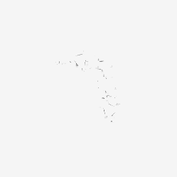 COc1ccc(Cc2csc(N3CCN(S(=O)(=O)c4ccc(Cl)cc4Cl)CC3)n2)c(OC)c1